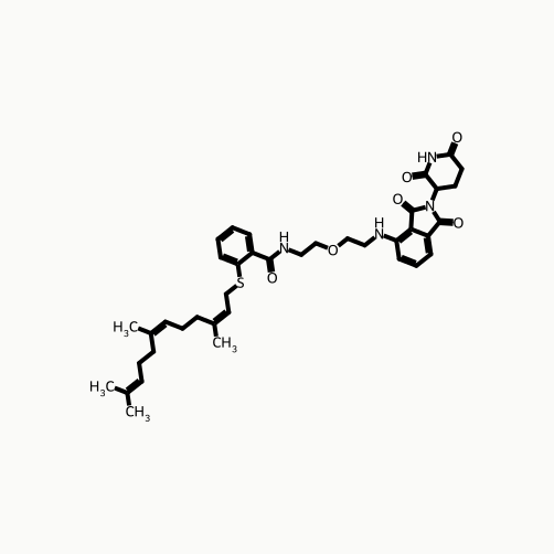 CC(C)=CCCC(C)=CCCC(C)=CCSc1ccccc1C(=O)NCCOCCNc1cccc2c1C(=O)N(C1CCC(=O)NC1=O)C2=O